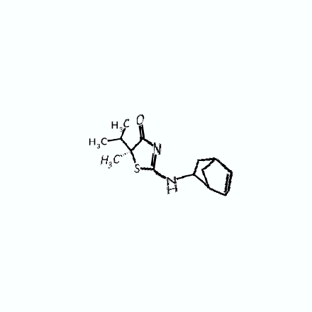 CC(C)[C@]1(C)SC(NC2CC3C=CC2C3)=NC1=O